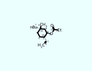 C=C[C@@H]1CC[C@](C)(CCCC)C[C@H]1OC(=O)CC